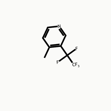 Cc1ccncc1C(F)(F)C(F)(F)F